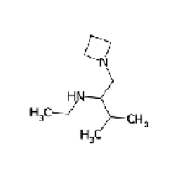 CCNC(CN1CCC1)C(C)C